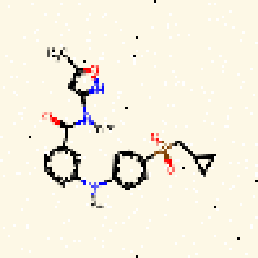 CCCN(C(=O)c1cccc(N(C(C)=O)c2ccc(S(=O)(=O)CC3CC3)cc2)c1)c1cc(C)on1